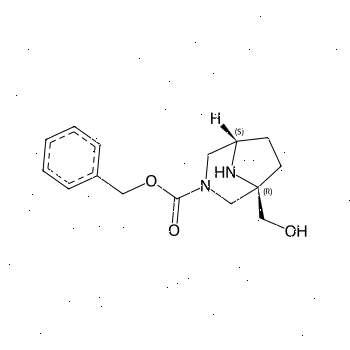 O=C(OCc1ccccc1)N1C[C@@H]2CC[C@](CO)(C1)N2